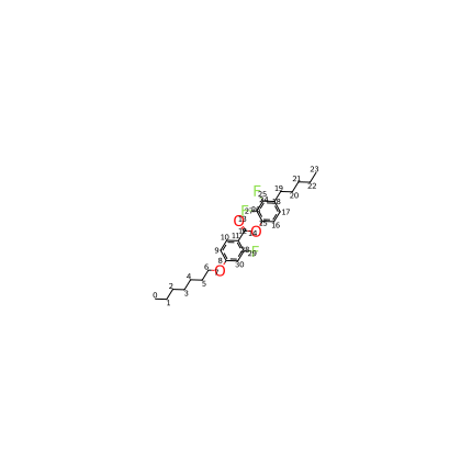 CCCCCCCOc1ccc(C(=O)Oc2ccc(CCCCC)c(F)c2F)c(F)c1